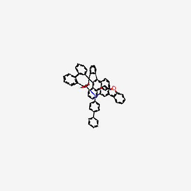 c1ccc(-c2ccc(N(c3ccc4c(c3)C3(c5ccccc5-c5ccccc5-4)c4ccccc4-c4c3c3ccccc3c3ccccc43)c3ccc4oc5ccccc5c4c3)cc2)cc1